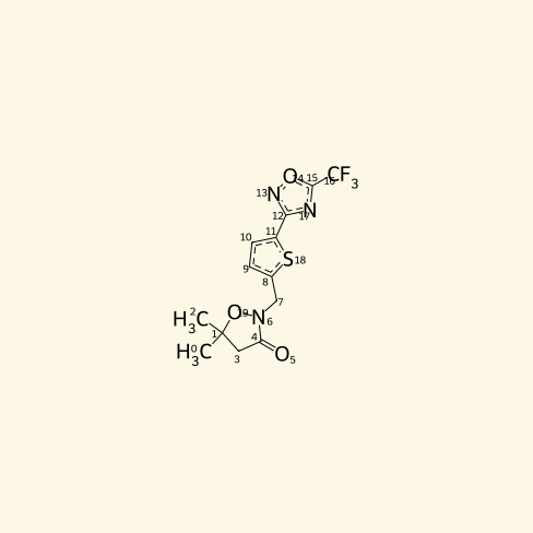 CC1(C)CC(=O)N(Cc2ccc(-c3noc(C(F)(F)F)n3)s2)O1